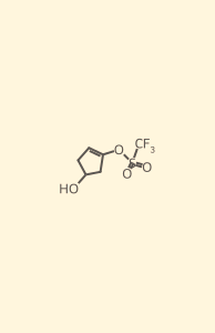 O=S(=O)(OC1=CCC(O)C1)C(F)(F)F